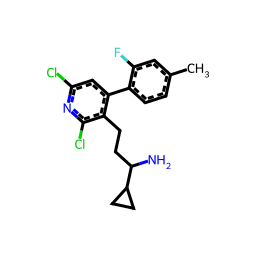 Cc1ccc(-c2cc(Cl)nc(Cl)c2CCC(N)C2CC2)c(F)c1